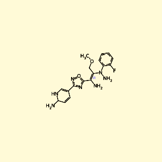 COC/C(=C(/N)c1nc(C2=CNC(N)C=C2)no1)N(N)c1ccccc1F